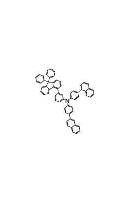 c1ccc(C2(c3ccccc3)c3ccccc3-c3c(-c4cccc(N(c5ccc(-c6ccc7ccccc7c6)cc5)c5ccc(-c6cccc7ccccc67)cc5)c4)cccc32)cc1